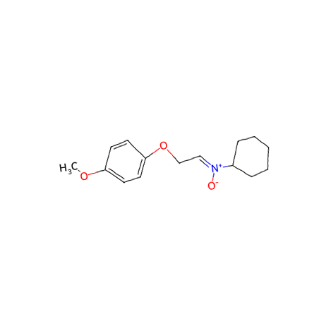 COc1ccc(OCC=[N+]([O-])C2CCCCC2)cc1